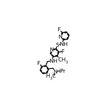 Cc1c(NCc2c(F)cccc2CN(C)C(C)C)cnc(SNc2cccc(F)n2)c1F